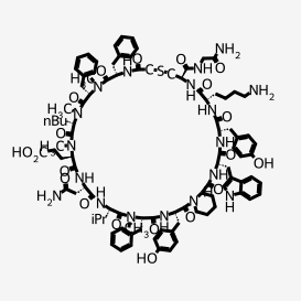 CCCC[C@H]1C(=O)N(C)[C@H](CCC(=O)O)C(=O)N[C@@H](CC(N)=O)C(=O)N[C@@H](C(C)C)C(=O)N(C)[C@@H](Cc2ccccc2)C(=O)N[C@@H](Cc2ccc(O)cc2)C(=O)N2CCCC[C@@H]2C(=O)N[C@@H](Cc2c[nH]c3ccccc23)C(=O)N[C@@H](Cc2ccc(O)cc2)C(=O)N[C@@H](CCCCN)C(=O)N[C@H](C(=O)NCC(N)=O)CSCC(=O)N[C@@H](Cc2ccccc2)C(=O)N(C)[C@@H](Cc2ccccc2)C(=O)N1C